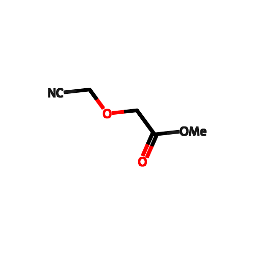 COC(=O)COCC#N